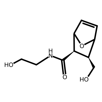 O=C(NCCO)[C@H]1C2C=CC(O2)[C@H]1CO